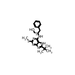 CSc1nc(N[C@@H](CO)Cc2ccccc2)c2[nH]c(C(C)(C)C)nc2n1